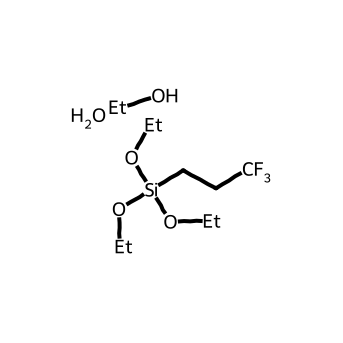 CCO.CCO[Si](CCC(F)(F)F)(OCC)OCC.O